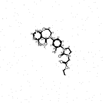 CCOC(=O)CN1CCN(c2ccc(N3CCOc4ncnc(N)c4C3=O)cc2F)C1=O